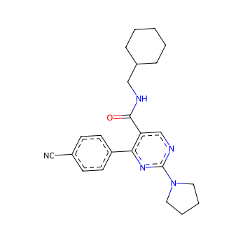 N#Cc1ccc(-c2nc(N3CCCC3)ncc2C(=O)NCC2CCCCC2)cc1